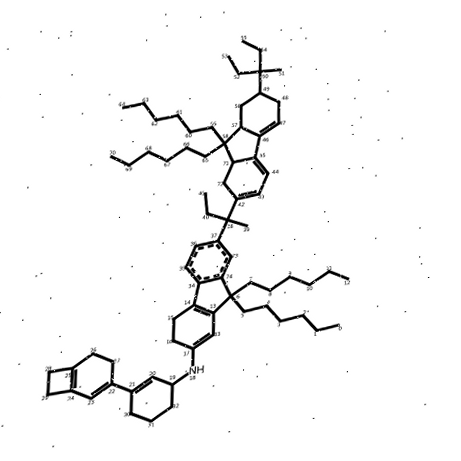 CCCCCCC1(CCCCCC)C2=C(CCC(NC3C=C(C4=CC5=C(CC4)CC5)CCC3)=C2)c2ccc(C(C)(CC)C3=CC=C4C5=CCC(C(C)(CC)CC)CC5C(CCCCCC)(CCCCCC)C4C3)cc21